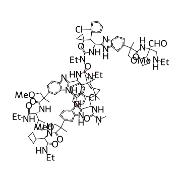 CCNC[C@](C=O)(NC(=O)C(C)(COC)c1ccc2nc([C@@H](NC(=O)N(CC)CCC3C[C@]3(C)[C@@H](c3ccccc3Cl)[C@H](NC(=O)N(CC)CC3CC3(C)[C@@H](c3ccccc3Cl)[C@H](NC(=O)N(C)C)c3nc4ccc(C(C)(COC)C(=O)N[C@@H](C(=O)NCC)C5CCC5)cc4[nH]3)c3nc4ccc(C(C)(COC)C(=O)N[C@@H](C(=O)NCC)C5CCC5)cc4[nH]3)[C@H](c3ccccc3Cl)C3(C)CC3)[nH]c2c1)C1CCC1